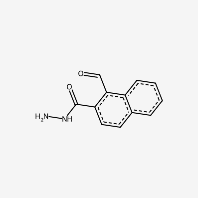 NNC(=O)c1ccc2ccccc2c1C=O